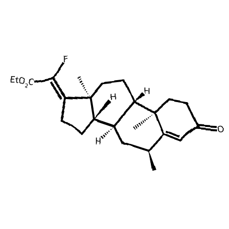 CCOC(=O)C(F)=C1CC[C@H]2[C@@H]3C[C@H](C)C4=CC(=O)CC[C@]4(C)[C@H]3CC[C@]12C